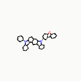 c1ccc(-n2c3ccccc3c3c4cc5c6ccccc6n(-c6ccc7oc8ccccc8c7c6)c5cc4ccc32)cc1